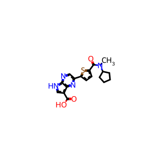 CN(C(=O)c1ccc(-c2cnc3[nH]cc(C(=O)O)c3n2)s1)C1CCCC1